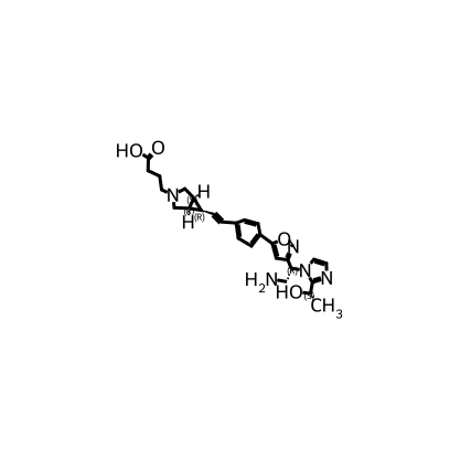 C[C@H](O)c1nccn1[C@H](CN)c1cc(-c2ccc(C#C[C@H]3[C@H]4CN(CCCC(=O)O)C[C@@H]34)cc2)on1